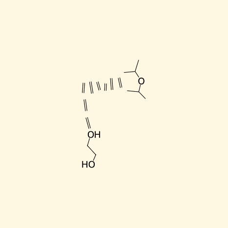 C=C.C=C.C=C.C=C.C=C.C=C.C=C.C=C.CC(C)OC(C)C.OCCO